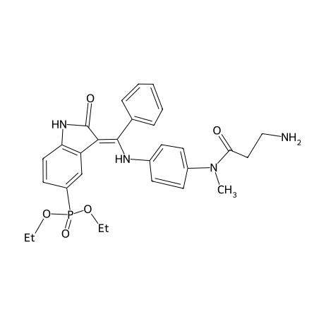 CCOP(=O)(OCC)c1ccc2c(c1)C(=C(Nc1ccc(N(C)C(=O)CCN)cc1)c1ccccc1)C(=O)N2